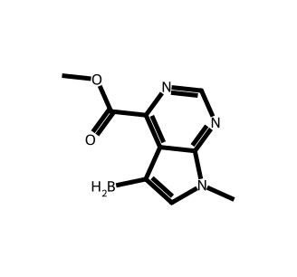 Bc1cn(C)c2ncnc(C(=O)OC)c12